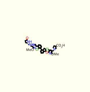 COc1nc(O[C@H]2CCc3c(-c4cccc(-c5cnc(CNC[C@@H]6CCC(=O)N6)c(OC)n5)c4Cl)cccc32)c(Cl)cc1CN1CC[C@@H](C(=O)O)C1